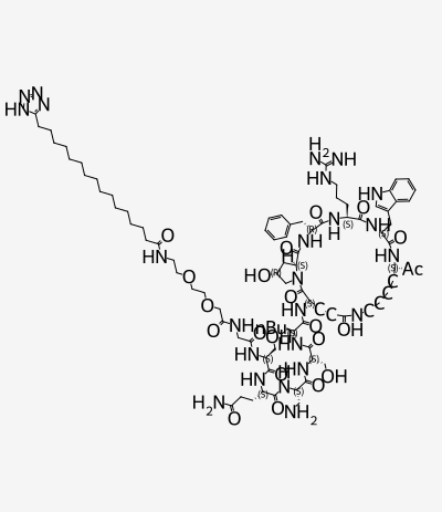 CCCC[C@H](NC(=O)[C@H](CO)NC(=O)[C@H](CN)NC(=O)[C@H](CCC(N)=O)NC(=O)[C@H](CO)NC(=O)CNC(=O)COCCOCCNC(=O)CCCCCCCCCCCCCCCc1nnn[nH]1)C(=O)N[C@H]1CCC(=O)NCCCC[C@@H](C(C)=O)NC(=O)[C@H](Cc2c[nH]c3ccccc23)NC(=O)[C@H](CCCNC(=N)N)NC(=O)[C@@H](Cc2ccccc2)NC(=O)[C@@H]2C[C@@H](O)CN2C1=O